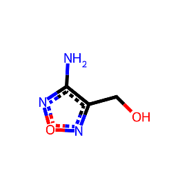 Nc1nonc1CO